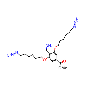 COC(=O)c1cc(OCCCCCCN=[N+]=[N-])c(CN)c(OCCCCCCN=[N+]=[N-])c1